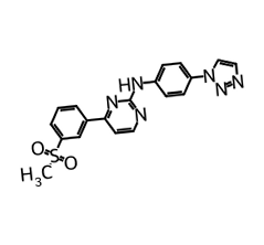 CS(=O)(=O)c1cccc(-c2ccnc(Nc3ccc(-n4ccnn4)cc3)n2)c1